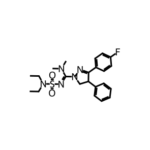 CCN(CC)S(=O)(=O)N=C(N(C)C)N1CC(c2ccccc2)C(c2ccc(F)cc2)=N1